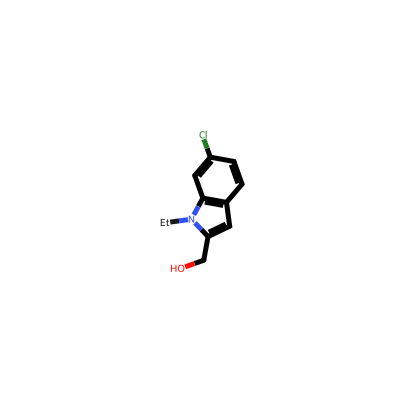 CCn1c(CO)cc2ccc(Cl)cc21